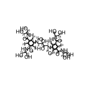 O=CN(CC(O)C(O)CN(C=O)c1c(I)c(C(=O)NC(CO)CO)c(I)c(C(=O)NC(CO)CO)c1I)c1c(I)c(C(=O)NC(CO)CO)c(I)c(C(=O)NC(CO)CO)c1I